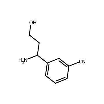 N#Cc1cccc(C(N)CCO)c1